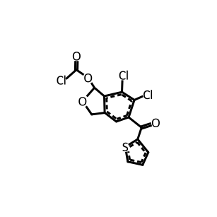 O=C(Cl)OC1OCc2cc(C(=O)c3cccs3)c(Cl)c(Cl)c21